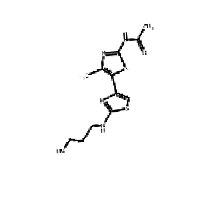 CC(=O)Nc1nc(C)c(-c2csc(NCCCO)n2)s1